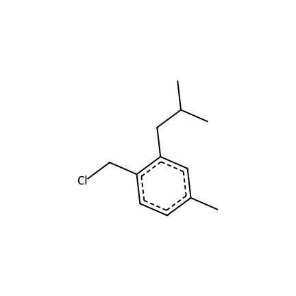 Cc1ccc(CCl)c(CC(C)C)c1